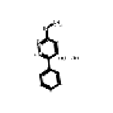 Cl.Cl.NNc1ccc(-c2ccccc2)nn1